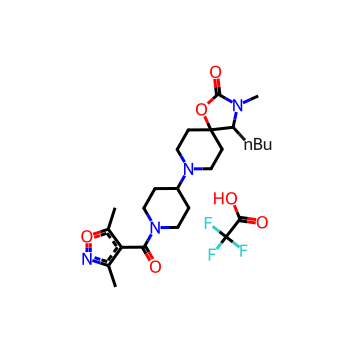 CCCCC1N(C)C(=O)OC12CCN(C1CCN(C(=O)c3c(C)noc3C)CC1)CC2.O=C(O)C(F)(F)F